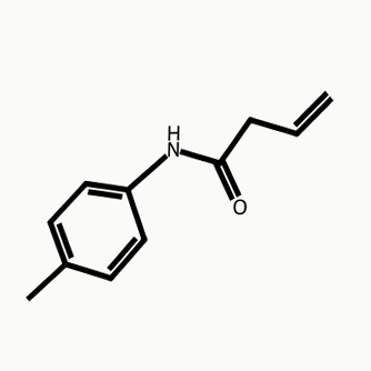 C=CCC(=O)Nc1ccc(C)cc1